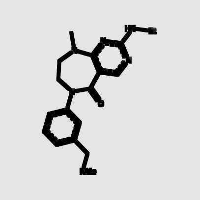 CCNc1ncc2c(n1)N(C)CCN(c1cccc(CNC)c1)C2=O